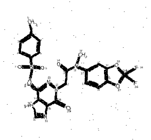 Cc1ccc(S(=O)(=O)Oc2nn(CC(=O)N(C)c3ccc4c(c3)OC(F)(F)O4)c(=O)c3nc[nH]c23)cc1